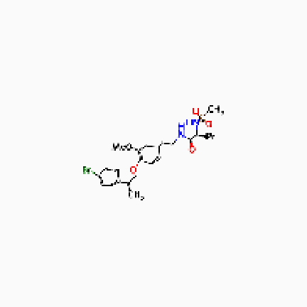 C=C(COc1ccc(CCNC(=O)[C@@H](NS(C)(=O)=O)C(C)C)cc1OC)c1ccc(Br)cc1